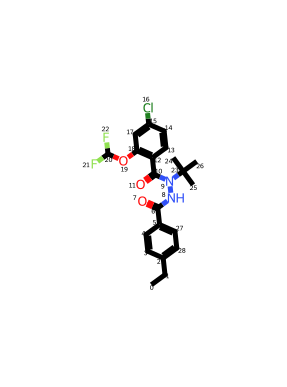 CCc1ccc(C(=O)NN(C(=O)c2ccc(Cl)cc2OC(F)F)C(C)(C)C)cc1